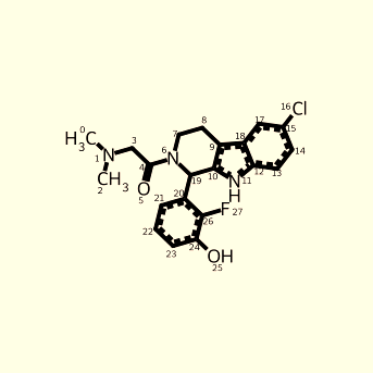 CN(C)CC(=O)N1CCc2c([nH]c3ccc(Cl)cc23)C1c1cccc(O)c1F